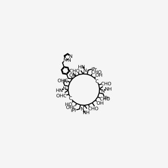 CC(C)CC1C(C=O)C(O)C(C)C(C=O)C(C)(N=N)C(CC(C)C)C(C=O)C(O)CC(C=O)C(C)(N=N)C(CC(C)C)C(C=O)C(O)(Cc2ccc(Cn3ccnn3)cc2)C(C)C(C=O)C(C)(N=N)C(CC(C)C)C(C=O)C(O)CC(C=O)C1(C)N=N